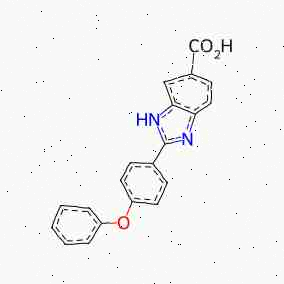 O=C(O)c1ccc2nc(-c3ccc(Oc4ccccc4)cc3)[nH]c2c1